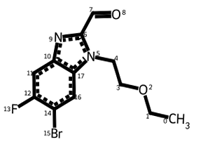 CCOCCn1c(C=O)nc2cc(F)c(Br)cc21